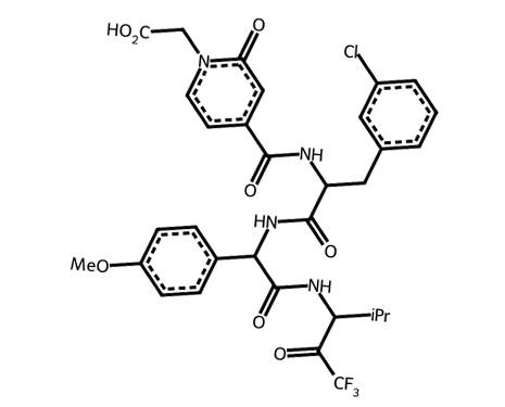 COc1ccc(C(NC(=O)C(Cc2cccc(Cl)c2)NC(=O)c2ccn(CC(=O)O)c(=O)c2)C(=O)NC(C(=O)C(F)(F)F)C(C)C)cc1